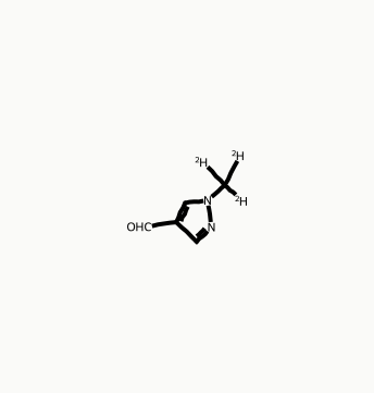 [2H]C([2H])([2H])n1cc(C=O)cn1